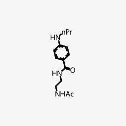 CCCNc1ccc(C(=O)NCCNC(C)=O)cc1